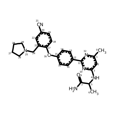 Cc1cc(NC(C)C(N)=O)nc(-c2ccc(Oc3ccc(C#N)cc3CN3CCCC3)cc2)n1